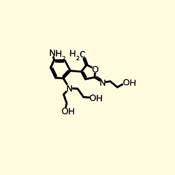 C=C1OC(=NCCO)C=C1c1cc(N)ccc1N(CCO)CCO